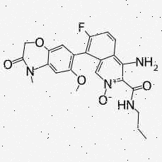 CCCNC(=O)c1c(N)c2ccc(F)c(-c3cc4c(cc3OC)N(C)C(=O)CO4)c2c[n+]1[O-]